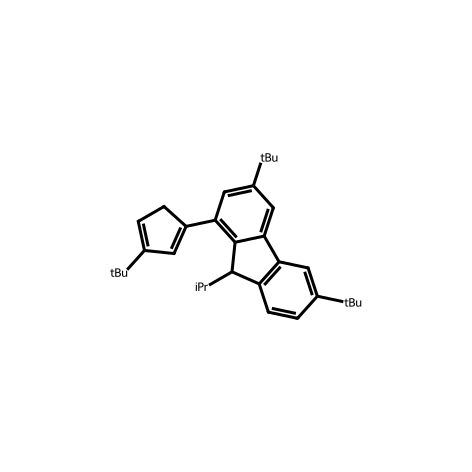 CC(C)C1c2ccc(C(C)(C)C)cc2-c2cc(C(C)(C)C)cc(C3=CC(C(C)(C)C)=CC3)c21